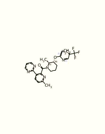 C=C(/C=N\C(=C/C)O[C@@H]1CCCN(C(=O)c2nc(C)ccc2-c2ncccn2)[C@H]1C)C(F)(F)F